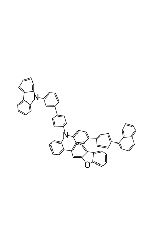 c1cc(-c2ccc(N(c3ccc(-c4ccc(-c5cccc6ccccc56)cc4)cc3)c3ccccc3-c3ccc4c(c3)oc3ccccc34)cc2)cc(-n2c3ccccc3c3ccccc32)c1